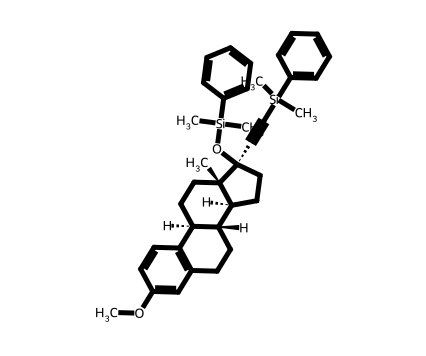 COc1ccc2c(c1)CC[C@@H]1[C@@H]2CC[C@@]2(C)[C@H]1CC[C@]2(C#C[Si](C)(C)c1ccccc1)O[Si](C)(C)c1ccccc1